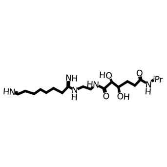 CC(C)NC(=O)CCC(O)C(O)C(=O)NCCNC(=N)CCCCCCC=N